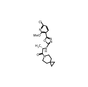 COc1nc(Cl)ccc1-c1nnc(N[C@@H](C)C(=O)N2CCC3(CC2)CC3)o1